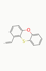 [CH]=Cc1[c]ccc2c1Sc1ccccc1O2